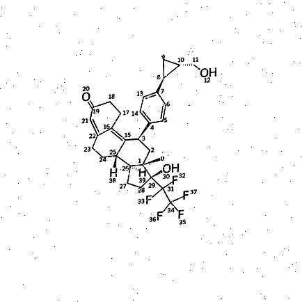 C[C@]12C[C@H](c3ccc([C@H]4C[C@@H]4CO)cc3)C3=C4CCC(=O)C=C4CC[C@H]3[C@@H]1CC[C@@]2(O)C(F)(F)C(F)(F)F